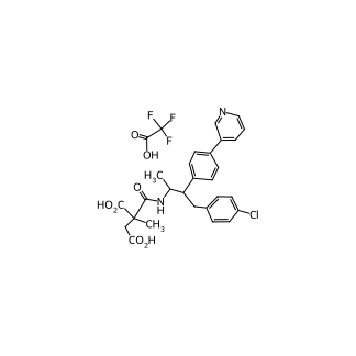 CC(NC(=O)C(C)(CC(=O)O)C(=O)O)C(Cc1ccc(Cl)cc1)c1ccc(-c2cccnc2)cc1.O=C(O)C(F)(F)F